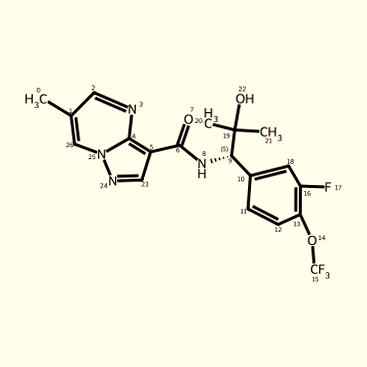 Cc1cnc2c(C(=O)N[C@@H](c3ccc(OC(F)(F)F)c(F)c3)C(C)(C)O)cnn2c1